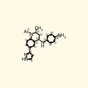 CC(=O)N1c2ccc(-c3cc[nH]n3)cc2[C@H](Nc2ccc(N)cc2)C[C@@H]1C